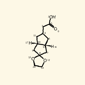 O=C(O)CC1C[C@@H]2CC3(C[C@@H]2C1)OCCO3